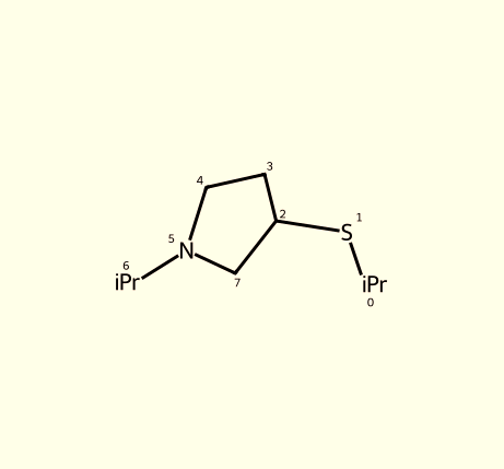 CC(C)SC1CCN(C(C)C)C1